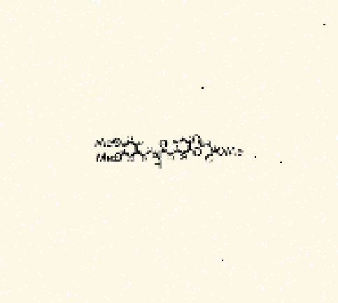 COC(=O)CC1Oc2ccc(CC(=O)NCCc3ccc(OC)c(OC)c3)cc2O1